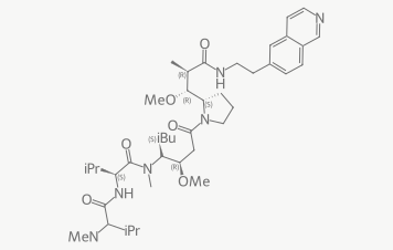 CC[C@H](C)C([C@@H](CC(=O)N1CCC[C@H]1[C@H](OC)[C@@H](C)C(=O)NCCc1ccc2cnccc2c1)OC)N(C)C(=O)[C@@H](NC(=O)C(NC)C(C)C)C(C)C